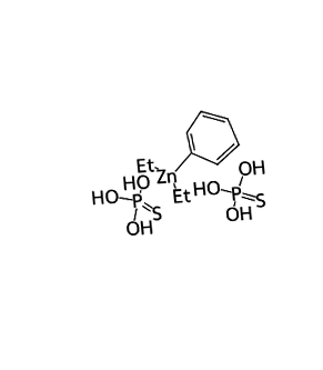 C[CH2][Zn]([CH2]C)[c]1ccccc1.OP(O)(O)=S.OP(O)(O)=S